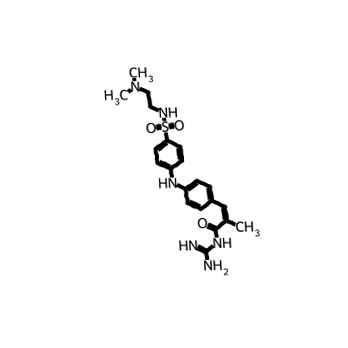 CC(=Cc1ccc(Nc2ccc(S(=O)(=O)NCCN(C)C)cc2)cc1)C(=O)NC(=N)N